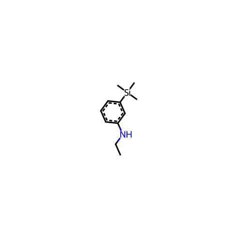 CCNc1cccc([Si](C)(C)C)c1